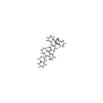 CC1C=CC=C2C(C3=Cc4ccccc4CC3)=c3ccccc3=C(c3ccc(-n4c(-c5ccccc5)nc5ccccc54)cc3)C21